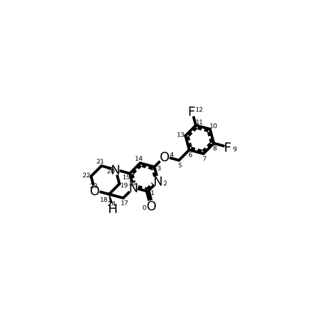 O=c1nc(OCc2cc(F)cc(F)c2)cc2n1C[C@H]1CN2CCO1